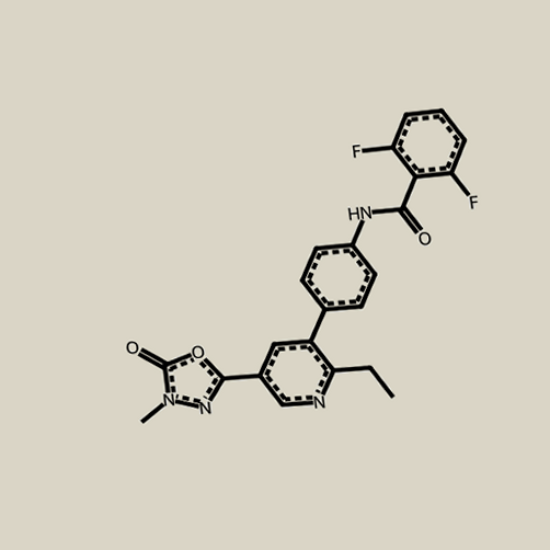 CCc1ncc(-c2nn(C)c(=O)o2)cc1-c1ccc(NC(=O)c2c(F)cccc2F)cc1